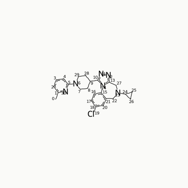 Cc1cccc(N2CCC(c3nnc4n3-c3ccc(Cl)cc3CN(C3CC3)C4)CC2)n1